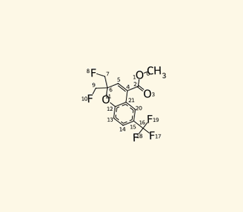 COC(=O)C1=CC(CF)(CF)Oc2ccc(C(F)(F)F)cc21